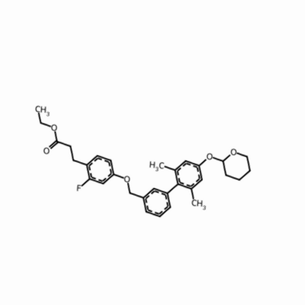 CCOC(=O)CCc1ccc(OCc2cccc(-c3c(C)cc(OC4CCCCO4)cc3C)c2)cc1F